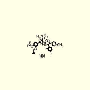 C[C@H](N)c1oc(-c2ccc(OC(F)F)c(OCC3CC3)c2)nc1C(=O)NC(C(=O)N1CCN(C)CC1)c1ccc(F)cc1F.Cl.Cl